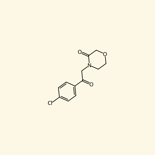 O=C(CN1CCOCC1=O)c1ccc(Cl)cc1